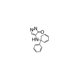 O=C1N=NC=C1NC1(c2ccccc2)C=CC=CC1